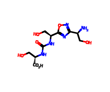 N[C@@H](CO)c1noc([C@H](CO)NC(=O)N[C@@H](CO)C(=O)O)n1